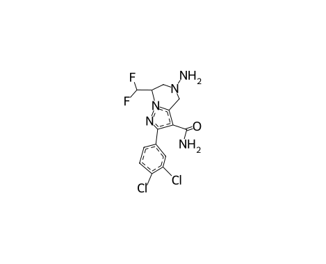 NC(=O)c1c(-c2ccc(Cl)c(Cl)c2)nn2c1CN(N)CC2C(F)F